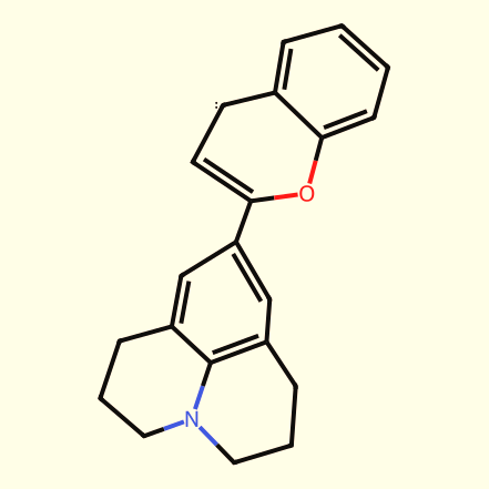 [C]1C=C(c2cc3c4c(c2)CCCN4CCC3)Oc2ccccc21